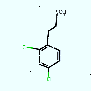 O=S(=O)(O)CCc1ccc(Cl)cc1Cl